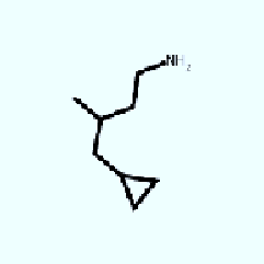 CC(CCN)CC1CC1